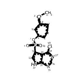 COc1cccc(OS(=O)(=O)c2c[nH]c3ncnc(Cl)c23)c1